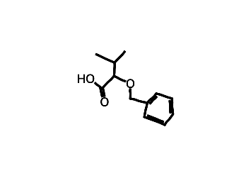 CC(C)C(OCc1ccccc1)C(=O)O